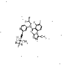 Cc1nnc2nc(N(CC(F)F)c3ccnc(C#CC(C)(C)C(F)(F)F)c3)c3c(F)c(F)ccc3n12